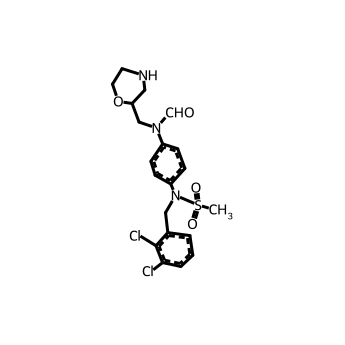 CS(=O)(=O)N(Cc1cccc(Cl)c1Cl)c1ccc(N(C=O)CC2CNCCO2)cc1